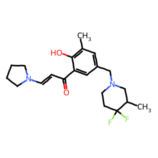 Cc1cc(CN2CCC(F)(F)C(C)C2)cc(C(=O)C=CN2CCCC2)c1O